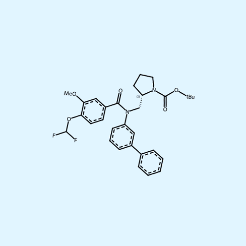 COc1cc(C(=O)N(C[C@@H]2CCCN2C(=O)OC(C)(C)C)c2cccc(-c3ccccc3)c2)ccc1OC(F)F